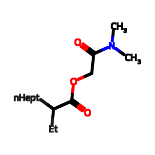 CCCCCCCC(CC)C(=O)OCC(=O)N(C)C